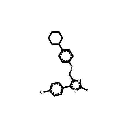 Cc1nc(COc2c[c]c(C3CCCCC3)cc2)c(-c2ccc(Cl)cc2)o1